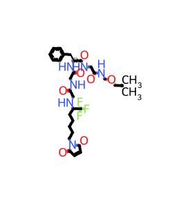 CC(C)COCNC(=O)CNC(=O)[C@H](Cc1ccccc1)NC(=O)CNC(=O)CNC(CCCCCN1C(=O)C=CC1=O)C(F)(F)F